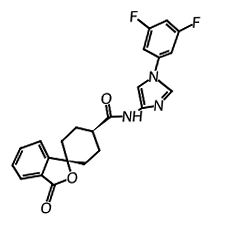 O=C1O[C@]2(CC[C@H](C(=O)Nc3cn(-c4cc(F)cc(F)c4)cn3)CC2)c2ccccc21